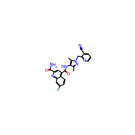 Cc1nn(Cc2ncccc2C#N)c(C)c1NC(=O)c1cc(C(N)=O)nc2cc(F)ccc12